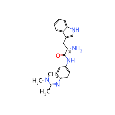 CC(=Nc1ccc(NC(=O)[C@@H](N)Cc2c[nH]c3ccccc23)cc1)N(C)C